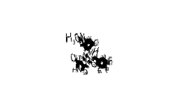 Cn1cc2cc(Nc3nc(=O)n(Cc4cc(Cl)c[nH]c4=O)c(=O)n3Cc3cc(F)c(F)c(F)c3)c(Cl)cc2n1